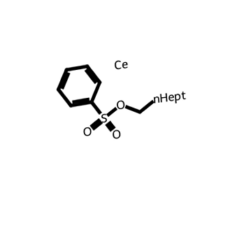 CCCCCCCCOS(=O)(=O)c1ccccc1.[Ce]